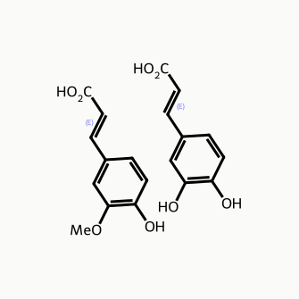 COc1cc(/C=C/C(=O)O)ccc1O.O=C(O)/C=C/c1ccc(O)c(O)c1